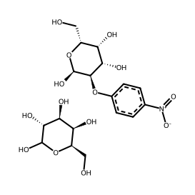 O=[N+]([O-])c1ccc(O[C@@H]2[C@@H](O)[C@@H](O)[C@@H](CO)O[C@@H]2O)cc1.OC[C@H]1OC(O)[C@H](O)[C@@H](O)[C@H]1O